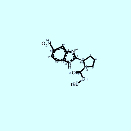 CC(C)(C)OC(=O)N1CCC[C@@H]1c1nc2cc([N+](=O)[O-])ccc2[nH]1